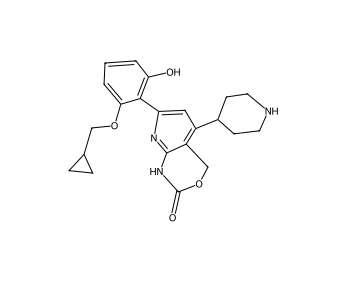 O=C1Nc2nc(-c3c(O)cccc3OCC3CC3)cc(C3CCNCC3)c2CO1